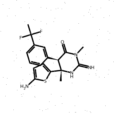 CN1C(=N)N[C@](C)(c2ccc(N)s2)[C@@H](c2cccc(C(C)(F)F)c2)C1=O